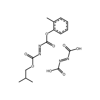 Cc1ccccc1OC(=O)N=NC(=O)OCC(C)C.O=C(O)N=NC(=O)O